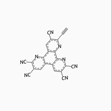 C#Cc1nc2c(cc1C#N)c1nc(C#N)c(C#N)cc1c1cc(C#N)c(C#N)nc12